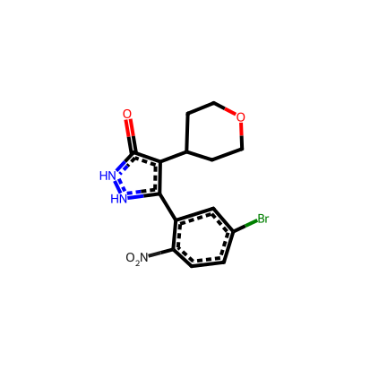 O=c1[nH][nH]c(-c2cc(Br)ccc2[N+](=O)[O-])c1C1CCOCC1